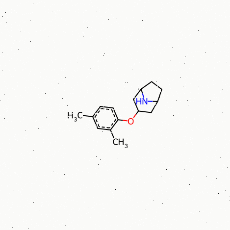 Cc1ccc(OC2C[C]3CCC(C2)N3)c(C)c1